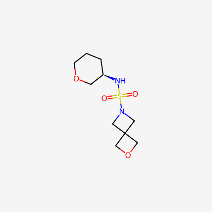 O=S(=O)(N[C@@H]1CCCOC1)N1CC2(COC2)C1